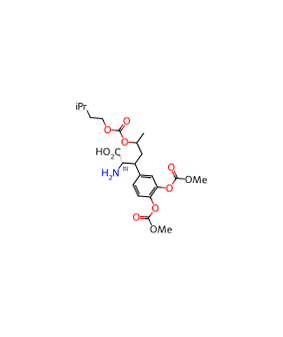 COC(=O)Oc1ccc(C(CC(C)OC(=O)OCCC(C)C)[C@H](N)C(=O)O)cc1OC(=O)OC